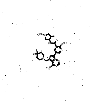 COc1ncc(-c2cc(CN3CCC(F)(F)CC3)c3c(N)ncnn23)cc1C(=O)NC1CN(C=O)CC1F